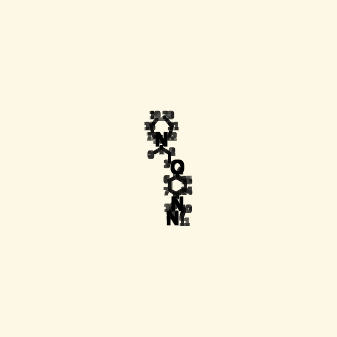 CC(CCOc1ccc(-n2ccnc2)cc1)N1CCCCCC1